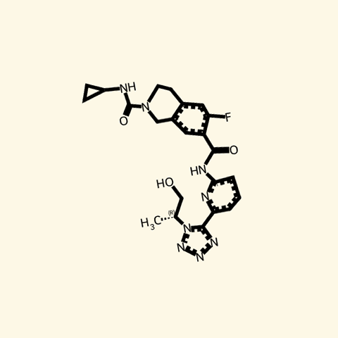 C[C@H](CO)n1nnnc1-c1cccc(NC(=O)c2cc3c(cc2F)CCN(C(=O)NC2CC2)C3)n1